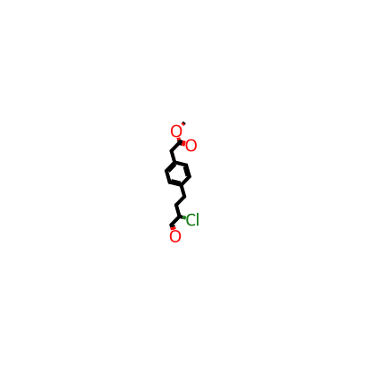 COC(=O)Cc1ccc(CCC(Cl)C=O)cc1